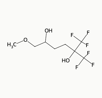 COCC(O)CCC(O)(C(F)(F)F)C(F)(F)F